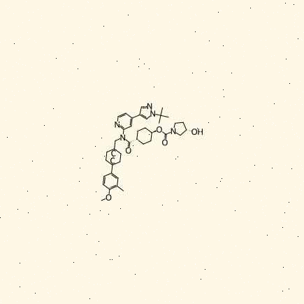 COc1ccc(C23CCC(CN(c4cc(-c5cnn(C(C)(C)C)c5)ccn4)C(=O)[C@H]4CC[C@H](OC(=O)N5CC[C@H](O)C5)CC4)(CC2)CC3)cc1C